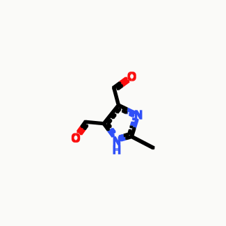 Cc1nc(C=O)c(C=O)[nH]1